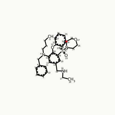 CCCCN(Cc1ccccc1)c1cc(CNCC)cc(S(=O)(=O)N2CCOCC2)c1Oc1ccccc1